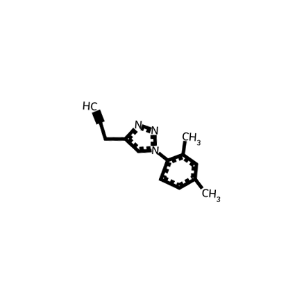 C#CCc1cn(-c2ccc(C)cc2C)nn1